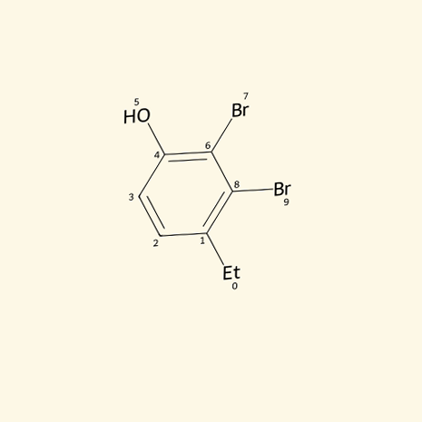 CCc1ccc(O)c(Br)c1Br